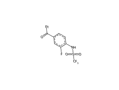 CCC(=O)c1ccc(NS(=O)(=O)C(F)(F)F)c(F)c1